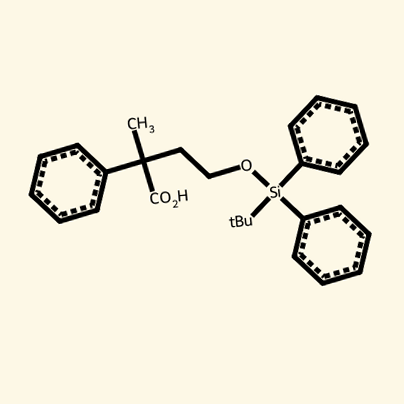 CC(CCO[Si](c1ccccc1)(c1ccccc1)C(C)(C)C)(C(=O)O)c1ccccc1